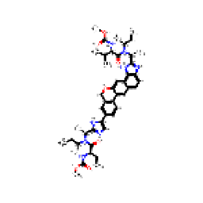 CCC(NC(=O)OC)C(=O)N([C@@H](C)CC)[C@@H](C)c1ncc(-c2ccc3c(c2)COc2cc4c(ccc5nc([C@H](C)N(C(=O)[C@@H](NC(=O)OC)C(C)C)[C@@H](C)CC)[nH]c54)cc2-3)[nH]1